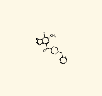 Cn1cc(C(=O)N2CCC(Cc3ccccn3)CC2)c2cc[nH]c2c1=O